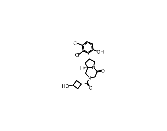 O=C1CN(C(=O)[C@H]2C[C@H](O)C2)C[C@@H]2C[C@H](c3c(O)ccc(Cl)c3Cl)CN12